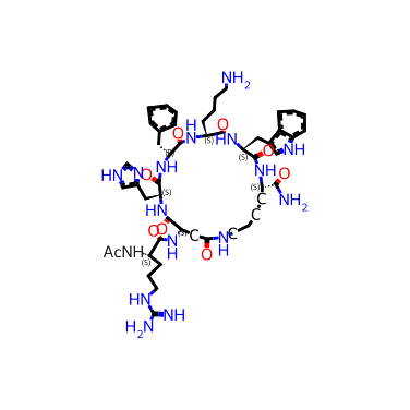 CC(=O)N[C@@H](CCCNC(=N)N)C(=O)N[C@H]1CC(=O)NCCCC[C@@H](C(N)=O)NC(=O)[C@H](Cc2c[nH]c3ccccc23)NC(=O)[C@H](CCCCN)NC(=O)[C@@H](Cc2ccccc2)NC(=O)[C@H](Cc2c[nH]cn2)NC1=O